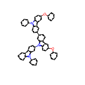 c1ccc(Oc2ccc3c(c2)c2cc(-c4ccc5c6cc(Oc7ccccc7)ccc6n(-c6ccc7c8ccccc8n(-c8ccccc8)c7c6)c5c4)ccc2n3-c2ccccc2)cc1